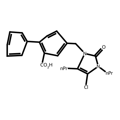 CCCc1c(Cl)n(CCC)c(=O)n1Cc1ccc(-c2ccccc2)c(C(=O)O)c1